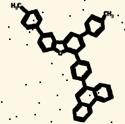 Cc1ccc(-c2ccc3oc4c(-c5ccc(-c6cc7ccccc7c7ccccc67)cc5)cc(-c5ccc(C)cc5)cc4c3c2)cc1